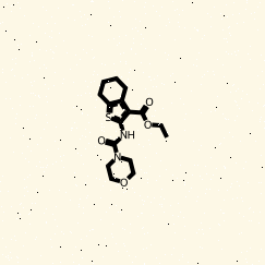 CCOC(=O)c1c(NC(=O)N2CCOCC2)sc2c1CCCC2